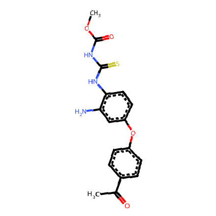 COC(=O)NC(=S)Nc1ccc(Oc2ccc(C(C)=O)cc2)cc1N